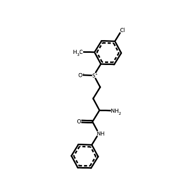 Cc1cc(Cl)ccc1[S+]([O-])CCC(N)C(=O)Nc1ccccc1